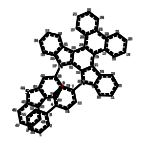 c1ccc(-c2ccc(-n3c4ccccc4c4c5c6ccccc6c6ccccc6c5c5c6ccccc6n(-c6ccc7c(c6)sc6ccccc67)c5c43)cc2)cc1